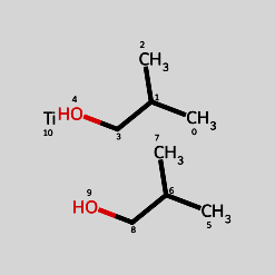 CC(C)CO.CC(C)CO.[Ti]